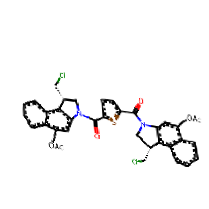 CC(=O)Oc1cc2c(c3ccccc13)[C@H](CCl)CN2C(=O)c1ccc(C(=O)N2C[C@@H](CCl)c3c2cc(OC(C)=O)c2ccccc32)s1